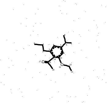 CCCc1cc(C(C)C)cc(OCC)c1C(C)=O